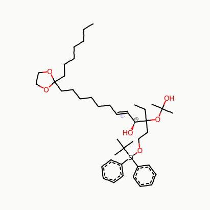 CCCCCCCC1(CCCCCC/C=C/[C@H](O)C(CC)(CCO[Si](c2ccccc2)(c2ccccc2)C(C)(C)C)OC(C)(C)O)OCCO1